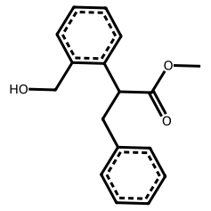 COC(=O)C(Cc1ccccc1)c1ccccc1CO